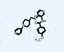 COc1ccc(C(=O)Nc2cnccc2NCC2CCN(c3ccncc3)CC2)cc1